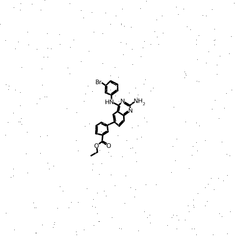 CCOC(=O)c1cccc(-c2ccc3nc(N)nc(Nc4cccc(Br)c4)c3c2)c1